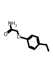 CCc1ccc(OCC(N)=O)cc1